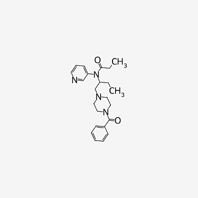 CCC(=O)N(c1cccnc1)C(CC)CN1CCN(C(=O)c2ccccc2)CC1